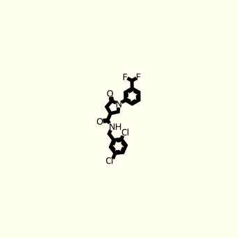 O=C(NCc1cc(Cl)ccc1Cl)C1CC(=O)N(c2cccc(C(F)F)c2)C1